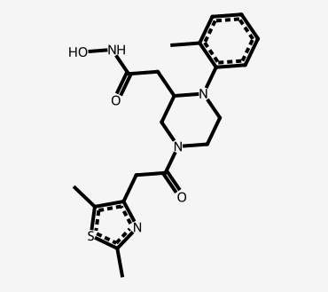 Cc1nc(CC(=O)N2CCN(c3ccccc3C)C(CC(=O)NO)C2)c(C)s1